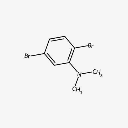 CN(C)c1cc(Br)ccc1Br